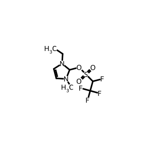 CCN1C=CN(C)C1OS(=O)(=O)C(F)C(F)(F)F